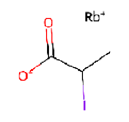 CC(I)C(=O)[O-].[Rb+]